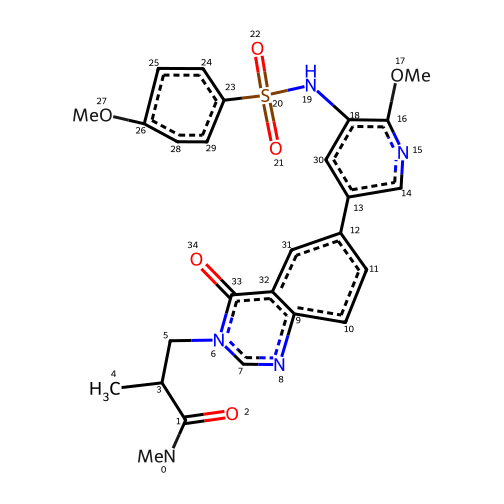 CNC(=O)C(C)Cn1cnc2ccc(-c3cnc(OC)c(NS(=O)(=O)c4ccc(OC)cc4)c3)cc2c1=O